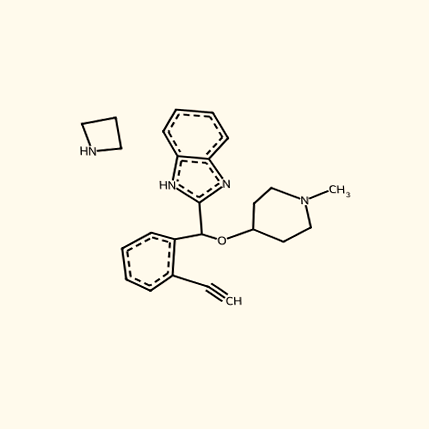 C#Cc1ccccc1C(OC1CCN(C)CC1)c1nc2ccccc2[nH]1.C1CNC1